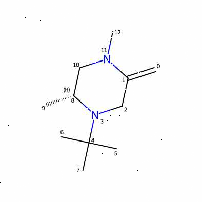 C=C1CN(C(C)(C)C)[C@H](C)CN1C